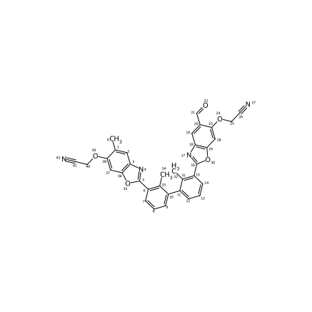 Cc1cc2nc(-c3cccc(-c4cccc(-c5nc6cc(C=O)c(OCC#N)cc6o5)c4C)c3C)oc2cc1OCC#N